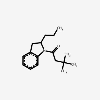 CCCC1Cc2ccccc2N1C(=O)CC(C)(C)C